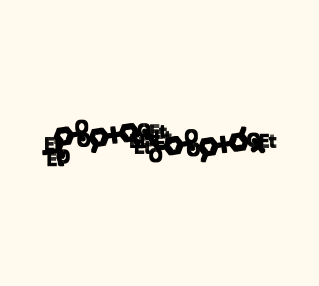 CCC(C)(C)Oc1ccc(C(C)(C)c2ccc(OC(=O)c3ccc(C(=O)C(CC)(CC)C(CC)(CC)Oc4ccc(C(C)(C)c5ccc(OC(=O)c6cccc(C(=O)C(C)(CC)CC)c6)c(C)c5)cc4C)cc3)c(C)c2)cc1C